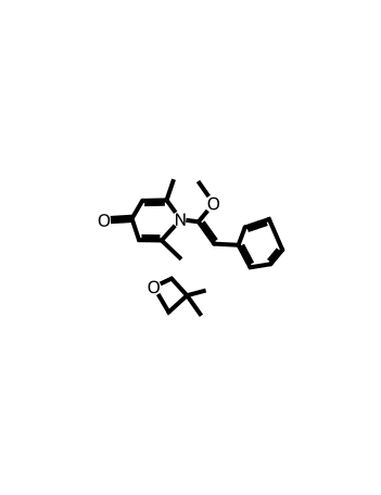 CC1(C)COC1.COC(=Cc1ccccc1)n1c(C)cc(=O)cc1C